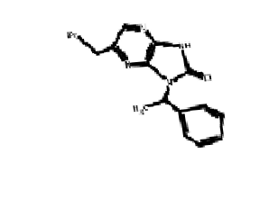 CC(C)Cc1cnc2[nH]c(=O)n(C(C)c3ccccc3)c2n1